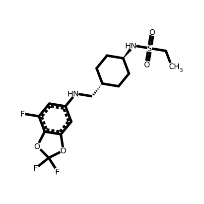 CCS(=O)(=O)N[C@H]1CC[C@H](CNc2cc(F)c3c(c2)OC(F)(F)O3)CC1